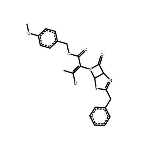 COc1ccc(COC(=O)C(=C(C)Cl)N2C(=O)C3N=C(Cc4ccccc4)SC32)cc1